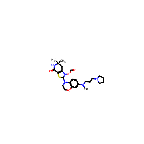 CN(CCCN1CCCC1)c1ccc2c(c1)OCCN2C1SC2=C(CC(C)(C)NC2=O)N1OC=O